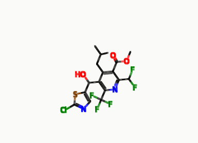 COC(=O)c1c(C(F)F)nc(C(F)(F)F)c(C(O)c2cnc(Cl)s2)c1CC(C)C